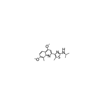 COc1ccc2c(OC)cc(-c3nc(NC(C)C)sc3C)nc2c1C